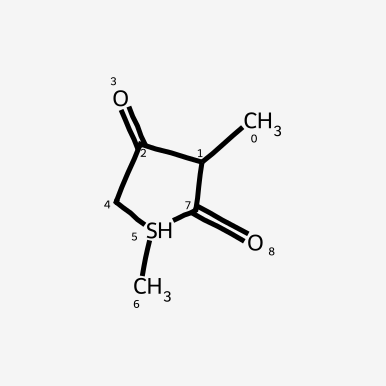 CC1C(=O)C[SH](C)C1=O